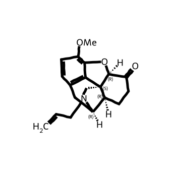 C=CCN1CC[C@]23c4c5ccc(OC)c4O[C@H]2C(=O)CC[C@H]3[C@H]1C5